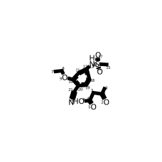 CC(=O)CC(=O)O.CCOc1cc(NS(C)(=O)=O)ccc1C#N